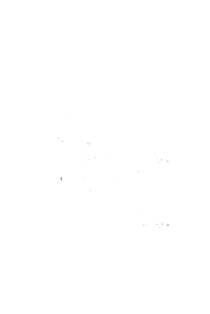 COc1ccc(CN2C(=O)C(I)CCn3nc(C)cc32)c(OC)c1